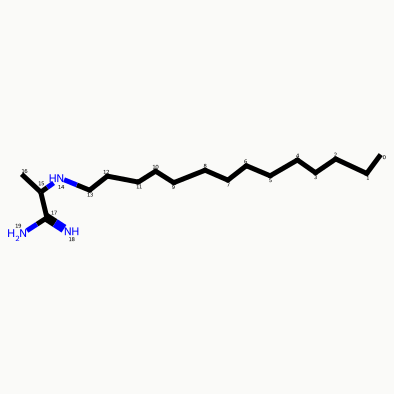 CCCCCCCCCCCCCCNC(C)C(=N)N